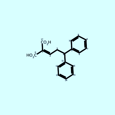 O=C(O)C(=CCC(c1ccccc1)c1ccccc1)C(=O)O